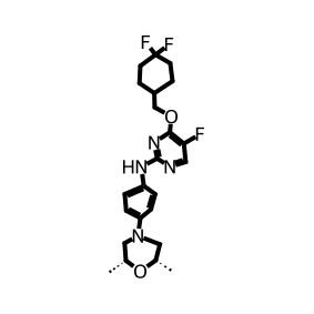 C[C@@H]1CN(c2ccc(Nc3ncc(F)c(OCC4CCC(F)(F)CC4)n3)cc2)C[C@H](C)O1